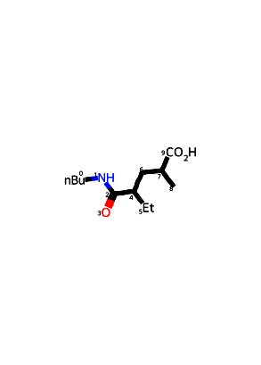 CCCCNC(=O)C(CC)CC(C)C(=O)O